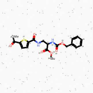 COC(=O)c1ccc(C(=O)NCC(NC(=O)OCc2ccccc2)C(=O)OC(C)(C)C)s1